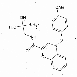 COc1ccc(CN2C=C(C(=O)NCC(C)(C)O)Oc3ccccc32)cc1